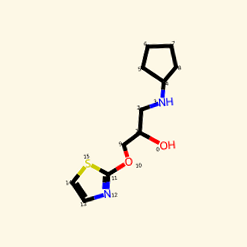 OC(CNC1CCCC1)COc1nccs1